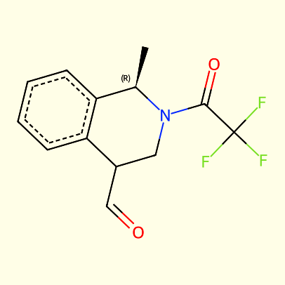 C[C@@H]1c2ccccc2C(C=O)CN1C(=O)C(F)(F)F